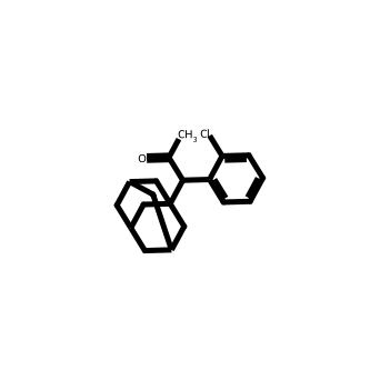 CC(=O)C(c1ccccc1Cl)C12CC3CC(CC(C3)C1)C2